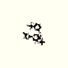 Cc1nnc(N2C[C@H](Oc3cccc(C(F)(F)F)n3)[C@H]3OC(C)(C)O[C@H]3C2)s1